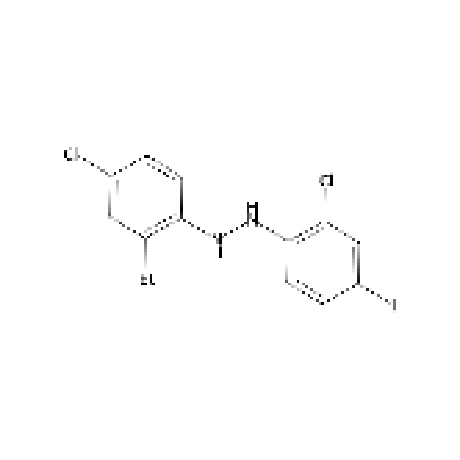 CCc1cc(Cl)ccc1NNc1ccc(I)cc1Cl